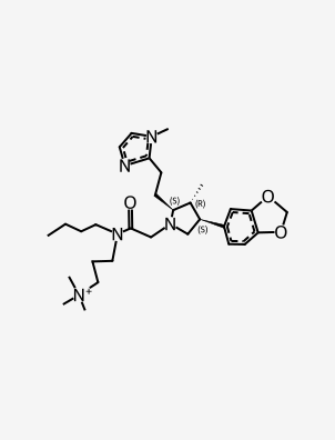 CCCCN(CCC[N+](C)(C)C)C(=O)CN1C[C@H](c2ccc3c(c2)OCO3)[C@@H](C)[C@@H]1CCc1nccn1C